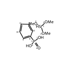 CO[SiH](OC)OC.O=P(O)(O)c1ccccc1